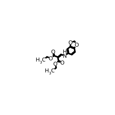 CCOC(=O)C(=CNc1ccc2c(c1)OCO2)C(=O)OCC